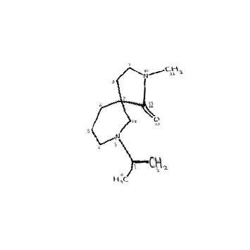 CC(C)N1CCCC2(CCN(C)C2=O)C1